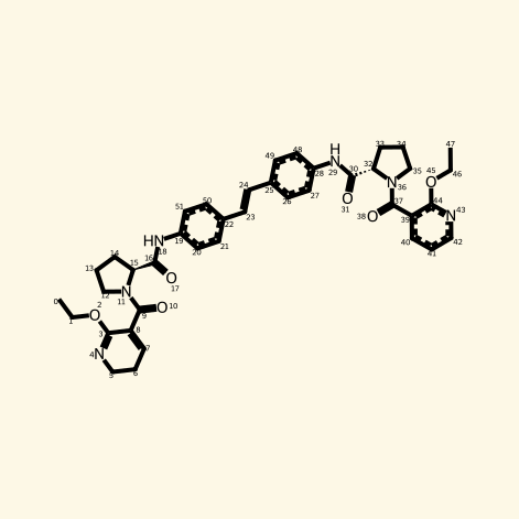 CCOC1=NCCC=C1C(=O)N1CCC[C@H]1C(=O)Nc1ccc(/C=C/c2ccc(NC(=O)[C@@H]3CCCN3C(=O)c3cccnc3OCC)cc2)cc1